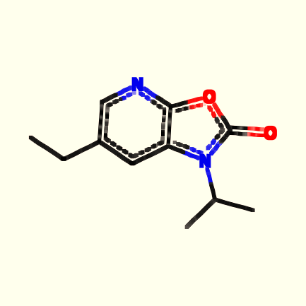 CCc1cnc2oc(=O)n(C(C)C)c2c1